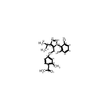 CC(=O)c1ccc(OCc2c(C(C)C)nnn2-c2c(F)cccc2Cl)cc1C